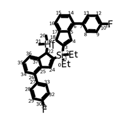 CC[Si]1(CC)C2=Cc3c(-c4ccc(F)cc4)cccc3[CH]2[Hf]([CH3])([CH3])[CH]2C1=Cc1c(-c3ccc(F)cc3)cccc12